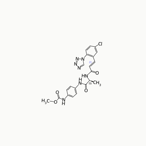 COC(=O)Nc1ccc(NC(=O)[C@H](C)NC(=O)/C=C/c2cc(Cl)ccc2-n2cnnn2)cc1